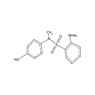 CC(=O)Nc1ccccc1S(=O)(=O)N(C)c1ccc(O)cc1